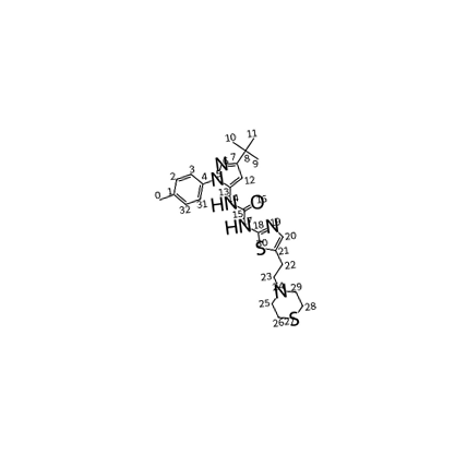 Cc1ccc(-n2nc(C(C)(C)C)cc2NC(=O)Nc2ncc(CCN3CCSCC3)s2)cc1